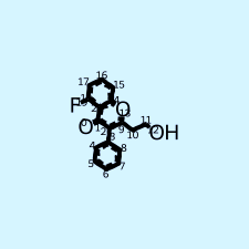 O=c1c(-c2ccccc2)c(CCO)oc2cccc(F)c12